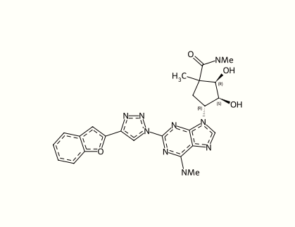 CNC(=O)C1(C)C[C@@H](n2cnc3c(NC)nc(-n4cc(-c5cc6ccccc6o5)nn4)nc32)[C@H](O)[C@@H]1O